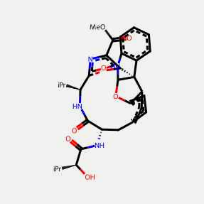 COC(=O)c1nc2oc1[C@@]13c4ccccc4NC1Oc1ccc(cc13)C[C@H](NC(=O)[C@@H](O)C(C)C)C(=O)N[C@H]2C(C)C